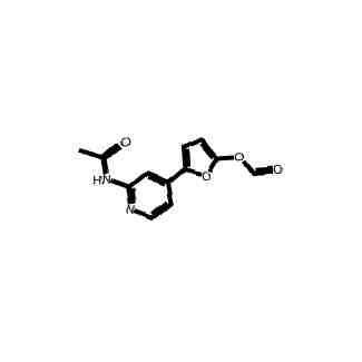 CC(=O)Nc1cc(-c2ccc(OC=O)o2)ccn1